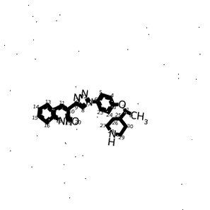 CC(Oc1ccc(-n2cc(-c3cc4ccccc4[nH]c3=O)nn2)cc1)C1CCNCC1